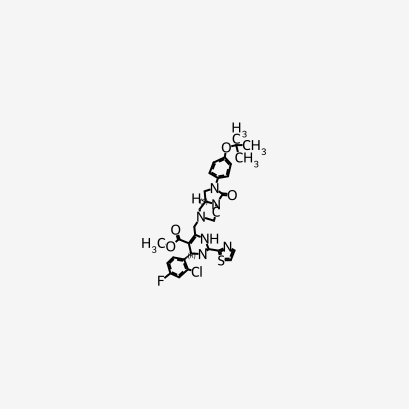 COC(=O)C1=C(CN2CCN3C(=O)N(c4ccc(OC(C)(C)C)cc4)C[C@@H]3C2)NC(c2nccs2)=N[C@H]1c1ccc(F)cc1Cl